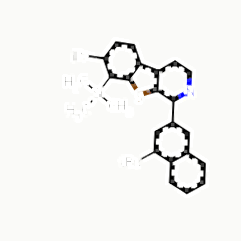 CC(C)c1ccc2c(sc3c(-c4cc(C(C)(C)C)c5ccccc5c4)nccc32)c1[Si](C)(C)C